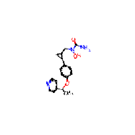 CC(Oc1ccc(C2CC2CN(O)C(N)=O)cc1)c1ccncc1